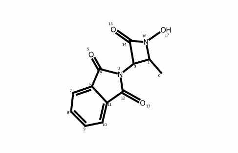 CC1C(N2C(=O)c3ccccc3C2=O)C(=O)N1O